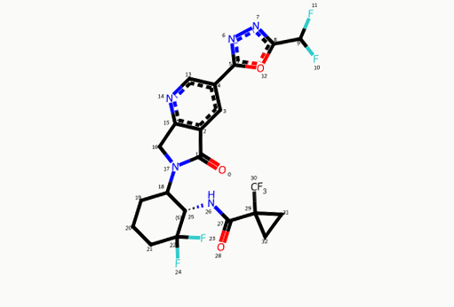 O=C1c2cc(-c3nnc(C(F)F)o3)cnc2CN1C1CCCC(F)(F)[C@H]1NC(=O)C1(C(F)(F)F)CC1